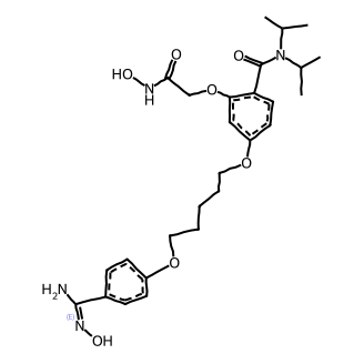 CC(C)N(C(=O)c1ccc(OCCCCCOc2ccc(/C(N)=N\O)cc2)cc1OCC(=O)NO)C(C)C